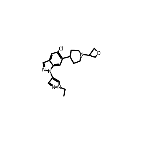 CCn1cc(-n2ncc3cc(Cl)c(C4CCN(C5COC5)CC4)cc32)cn1